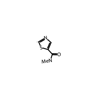 CNC(=O)c1cn[c]s1